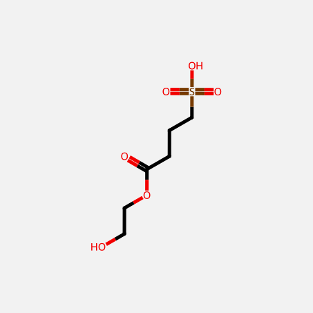 O=C(CCCS(=O)(=O)O)OCCO